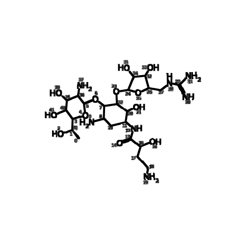 C[C@@H](O)C1OC(OC2C(N)CC(NC(=O)C(O)CCN)C(O)C2OC2OC(CNC(=N)N)C(O)C2O)C(N)C(O)C1O